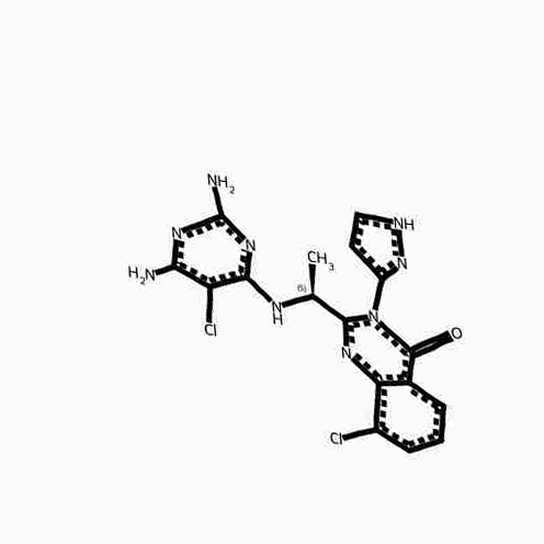 C[C@H](Nc1nc(N)nc(N)c1Cl)c1nc2c(Cl)cccc2c(=O)n1-c1cc[nH]n1